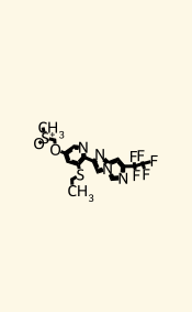 CCSc1cc(OC[S+](C)[O-])cnc1-c1cn2cnc(C(F)(F)C(F)(F)F)cc2n1